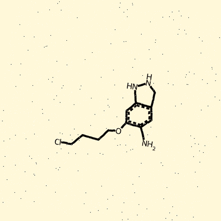 Nc1cc2c(cc1OCCCCCl)NNC2